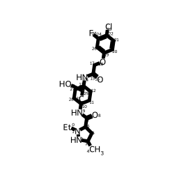 CCN1NC(C)CC1C(=O)NC12CCC(NC(=O)COc3ccc(Cl)c(F)c3)(CC1)C(O)C2